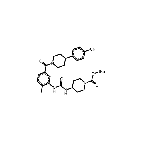 Cc1ccc(C(=O)N2CCC(c3ccc(C#N)cc3)CC2)cc1NC(=O)NC1CCN(C(=O)OC(C)(C)C)CC1